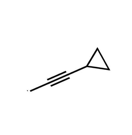 [CH2]C#CC1CC1